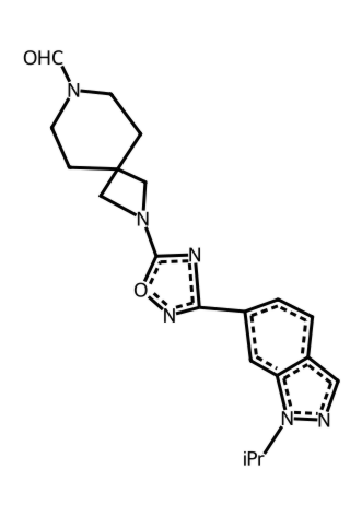 CC(C)n1ncc2ccc(-c3noc(N4CC5(CCN(C=O)CC5)C4)n3)cc21